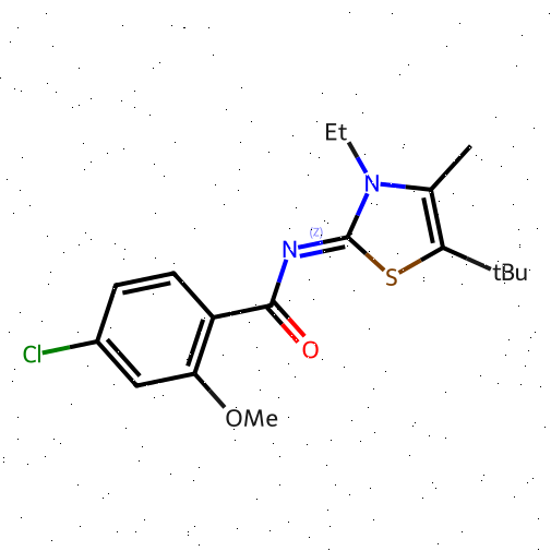 CCn1c(C)c(C(C)(C)C)s/c1=N\C(=O)c1ccc(Cl)cc1OC